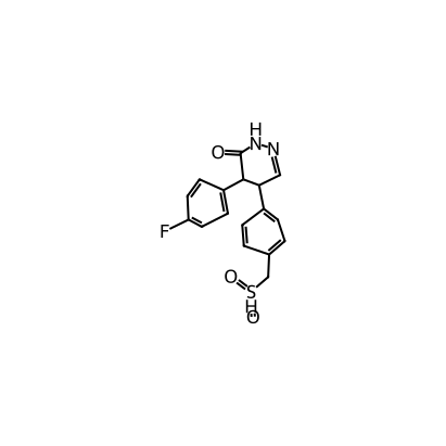 O=C1NN=CC(c2ccc(C[SH](=O)=O)cc2)C1c1ccc(F)cc1